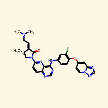 C[C@H]1CN(c2ccc3ncnc(Nc4ccc(Oc5ccn6ncnc6c5)c(F)c4)c3n2)C(=O)/C1=C/CN(C)C